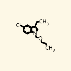 CCCOCn1cc(CC)c2cc(Cl)ccc21